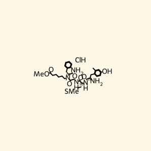 COC(=O)CCCCCN(C(=O)CNC(=O)[C@@H](CCSC)NC(=O)[C@@H](N)Cc1ccc(O)cc1C)[C@@H](Cc1ccccc1)C(N)=O.Cl